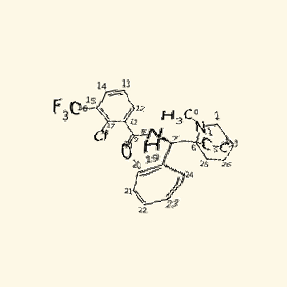 CN1CC2CCC1([C@H](NC(=O)c1cccc(C(F)(F)F)c1Cl)c1ccccc1)CC2